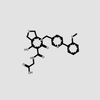 CSc1ccccc1-c1ccc(Cn2c3c(c(O)c(C(=O)NCC(=O)O)c2=O)CSC3)cn1